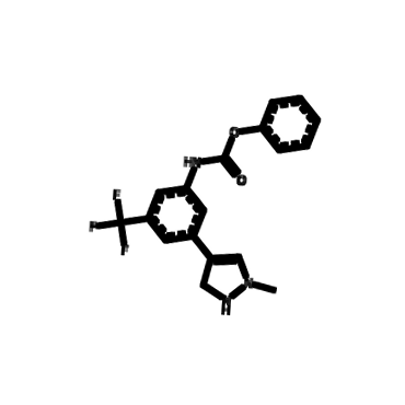 CN1C=C(c2cc(NC(=O)Oc3ccccc3)cc(C(F)(F)F)c2)CN1